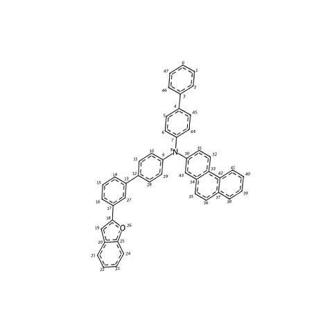 c1ccc(-c2ccc(N(c3ccc(-c4cccc(-c5cc6ccccc6o5)c4)cc3)c3ccc4c(ccc5ccccc54)c3)cc2)cc1